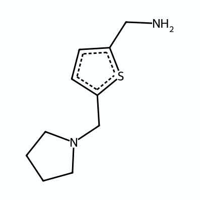 NCc1ccc(CN2CCCC2)s1